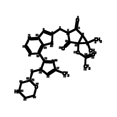 CC1(C)C2C(=O)N(Cc3cc4nccc(-c5nc(C(F)(F)F)cn5C[C@@H]5CNCCO5)c4s3)C(=O)C21OC(=O)C(F)(F)F